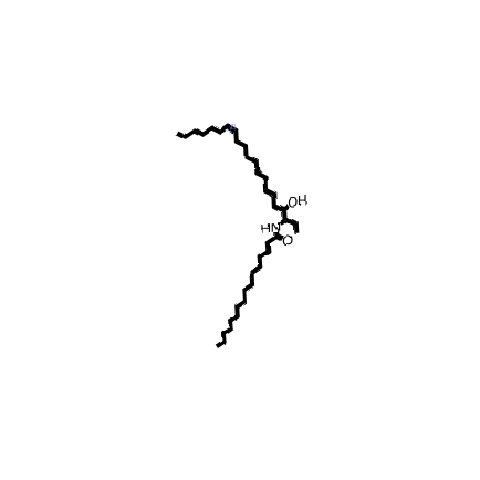 CCCCCC/C=C\CCCCCCCCCC(O)C(CC)NC(=O)CCCCCCCCCCCCCCC